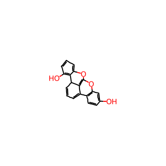 Oc1ccc2c(c1)OC1=C3C2=CC=CC3c2c(O)cccc2O1